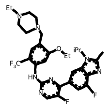 CCOc1cc(Nc2ncc(F)c(-c3cc(F)c4nc(C)n(C(C)C)c4c3)n2)c(C(F)(F)F)cc1CN1CCN(CC)CC1